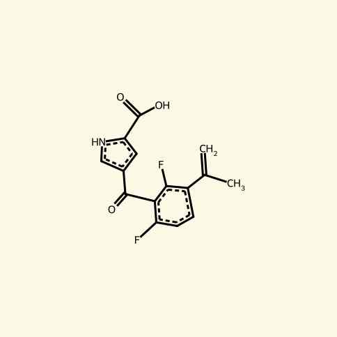 C=C(C)c1ccc(F)c(C(=O)c2c[nH]c(C(=O)O)c2)c1F